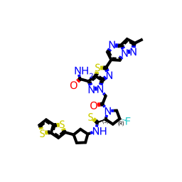 Cc1cc2ncc(-c3nc4c(s3)c(C(N)=O)nn4CC(=O)N3C[C@H](F)C[C@H]3C(=S)NC3CCC(c4cc5sccc5s4)C3)cn2n1